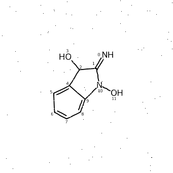 N=C1C(O)c2ccccc2N1O